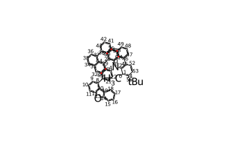 CC1C(N(c2ccc(-c3cccc4oc5ccccc5c34)cc2)c2ccccc2-c2cccc3cccc(-c4ccccc4)c23)=C(c2ccccc2)C=CC1C(C)(C)C